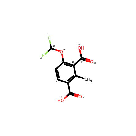 Cc1c(C(=O)O)ccc(OC(F)F)c1C(=O)O